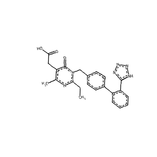 CCc1nc(C)c(CC(=O)O)c(=O)n1Cc1ccc(-c2ccccc2-c2nnn[nH]2)cc1